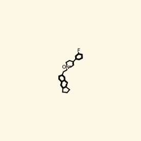 [O-][N+]1(CCc2ccc3cc4c(cc3c2)CCC4)CC=C(c2cccc(F)c2)CC1